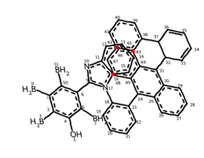 Bc1c(B)c(O)c(B)c(-c2nc3ccccc3n2-c2ccccc2-c2c3ccccc3c(C3C=CC=CC3c3cccnc3)c3ccccc23)c1B